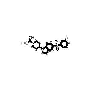 CC(C)N1CCC(N2CCc3cc(S(=O)(=O)c4cccc(F)c4)ccc32)CC1